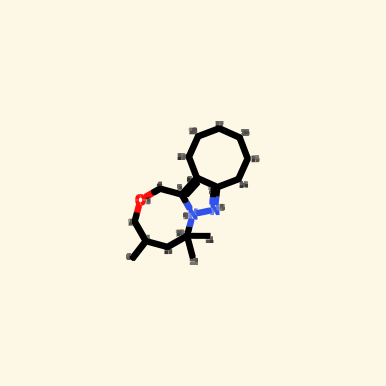 CC1COCc2c3c(nn2C(C)(C)C1)CCCCCC3